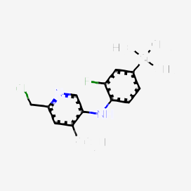 C[Si](C)(C)c1ccc(Nc2cnc(CCl)cc2C(=O)O)c(F)c1